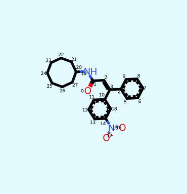 O=C(C=C(c1ccccc1)c1cccc([N+](=O)[O-])c1)NC1CCCCCCC1